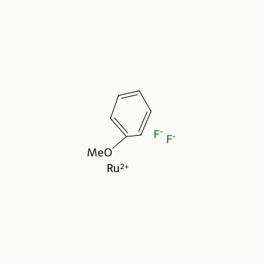 COc1ccccc1.[F-].[F-].[Ru+2]